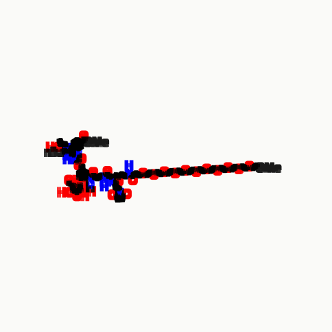 CCCCc1nc2c(NC(=O)OCc3ccc(O[C@H]4O[C@H](CO)[C@@H](O)[C@H](O)[C@@H]4O)c(NC(=O)CCNC(=O)[C@H](CCCCNC(=O)CCOCCOCCOCCOCCOCCOCCOCCOCCOCCOCCOCCOC)NC(=O)CCN4C(=O)C=CC4=O)c3)nc3cc(C(=O)OC)ccc3c2n1CC(C)O